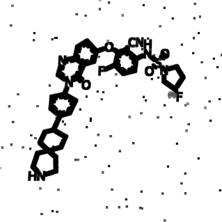 N#Cc1c(NS(=O)(=O)N2CC[C@@H](F)C2)ccc(F)c1Oc1ccc2ncn(-c3ccc(C4CCC5(CCNCC5)CC4)cc3)c(=O)c2c1